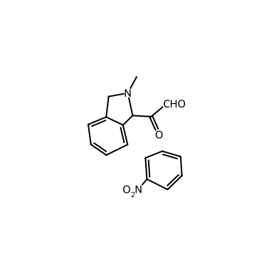 CN1Cc2ccccc2C1C(=O)C=O.O=[N+]([O-])c1ccccc1